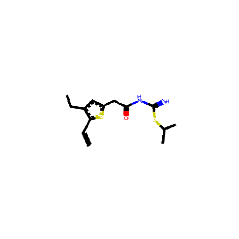 C=Cc1sc(CC(=O)NC(=N)SC(C)C)cc1CC